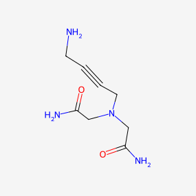 NCC#CCN(CC(N)=O)CC(N)=O